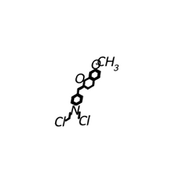 COc1ccc2c(c1)C(=O)/C(=C/c1ccc(N(CCCl)CCCl)cc1)CC2